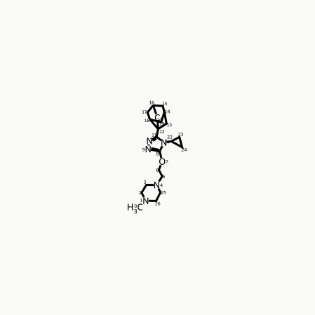 CN1CCN(CCOc2nnc(C34CC5CC(CC3C5)C4)n2C2CC2)CC1